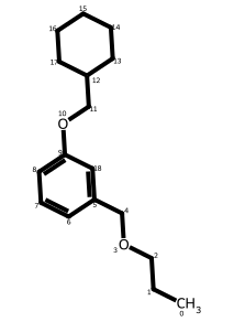 CCCOCc1cccc(OCC2CCCCC2)c1